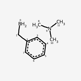 BCc1ccccc1.CN(C)C